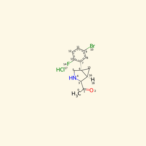 CC(=O)C1NC[C@@]2(c3cc(Br)ccc3F)C[C@@H]12.Cl